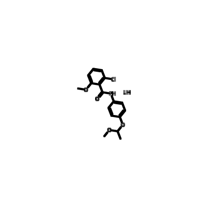 COc1cccc(Cl)c1C(=O)Pc1ccc(OC(C)OC)cc1.[LiH]